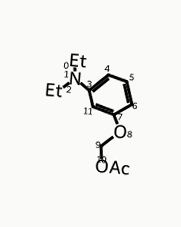 CCN(CC)c1cccc(OCOC(C)=O)c1